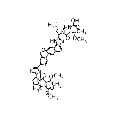 COC(=O)N[C@H](C(=O)N1C(c2ncc(-c3ccc4c(c3)COc3cc5c(ccc6nc(C7CC(C)CN7C(=O)[C@@H](NC(=O)O)[C@@H](C)OC)[nH]c65)cc3-4)[nH]2)CC[C@@H]1C)[C@@H](C)OC